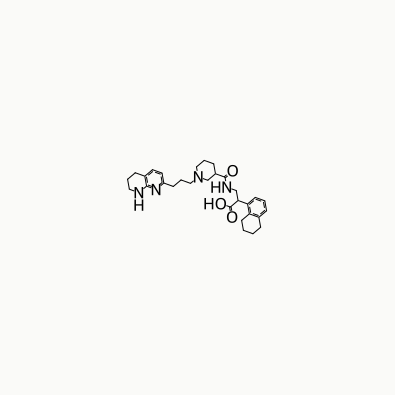 O=C(NCC(C(=O)O)c1cccc2c1CCCC2)C1CCCN(CCCc2ccc3c(n2)NCCC3)C1